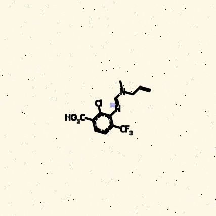 C=CCN(C)/C=N/c1c(C(F)(F)F)ccc(C(=O)O)c1Cl